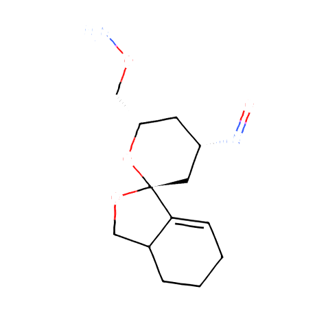 NOC[C@@H]1C[C@H](N=O)C[C@@]2(OCC3CCCC=C32)O1